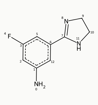 Nc1cc(F)cc(C2=NCCN2)c1